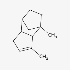 CC1=CCC2C3C[CH]C(C)(C3)C12